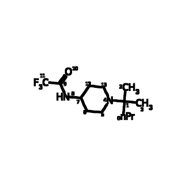 CCCC(C)(C)N1CCC(NC(=O)C(F)(F)F)CC1